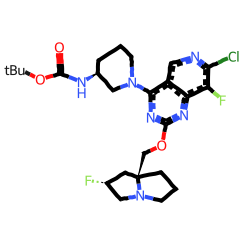 CC(C)(C)OC(=O)N[C@H]1CCCN(c2nc(OC[C@@]34CCCN3C[C@H](F)C4)nc3c(F)c(Cl)ncc23)C1